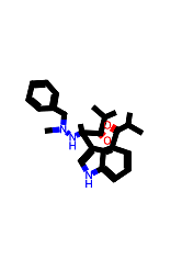 CC(C)C(=O)c1cccc2[nH]cc(C(C)(NN(C)[CH]c3ccccc3)C(=O)C(C)C)c12